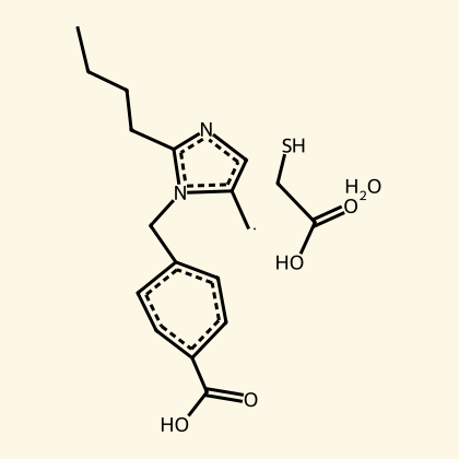 O.O=C(O)CS.[CH2]c1cnc(CCCC)n1Cc1ccc(C(=O)O)cc1